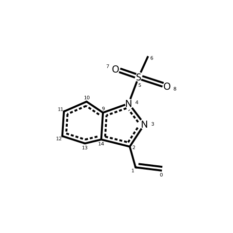 C=Cc1nn(S(C)(=O)=O)c2ccccc12